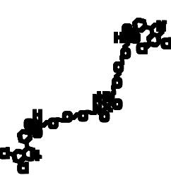 CN1Cc2c(Cl)cc(Cl)cc2C(c2cccc(S(=O)(=O)NCCOCCOCCOCCNC(=O)C(C)(C)C(=O)NCCOCCOCCOCCNS(=O)(=O)c3cccc(C4CN(C)Cc5c(Cl)cc(Cl)cc54)c3)c2)C1